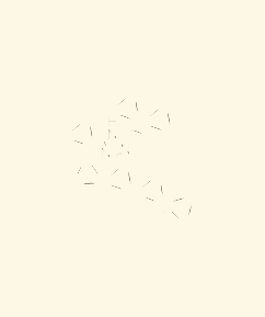 c1ccc(C2=NC(c3cc(-c4ccc5c(c4)oc4ccccc45)cc4oc5ccccc5c34)=NC(c3cc4ccccc4c4ccccc34)N2)cc1